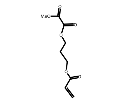 C=CC(=O)OCCCOC(=O)C(=O)OC